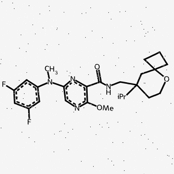 COc1ncc(N(C)c2cc(F)cc(F)c2)nc1C(=O)NCC1(C(C)C)CCOC2(CCC2)C1